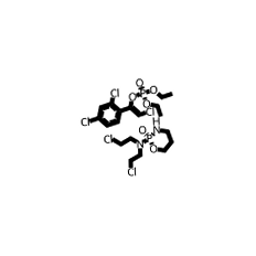 CCOP(=O)(OCC)OC(=CCl)c1ccc(Cl)cc1Cl.O=P1(N(CCCl)CCCl)NCCCO1